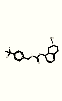 O=C(NCc1ccc(C(F)(F)F)cc1)NC1C=CC=C2CC[C@H](O)CC21